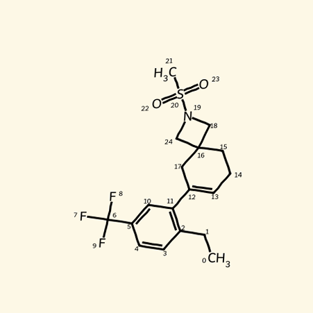 CCc1ccc(C(F)(F)F)cc1C1=CCCC2(C1)CN(S(C)(=O)=O)C2